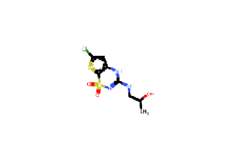 CC(O)CNC1=NS(=O)(=O)c2sc(Cl)cc2N1